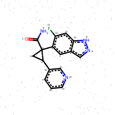 NC(=O)C1(c2cc3cn[nH]c3cc2F)CC1c1cccnc1